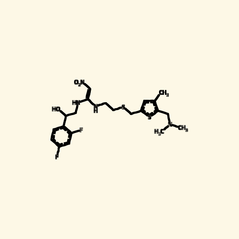 Cc1cc(CSCCN/C(=C/[N+](=O)[O-])NCC(O)c2ccc(F)cc2F)sc1CN(C)C